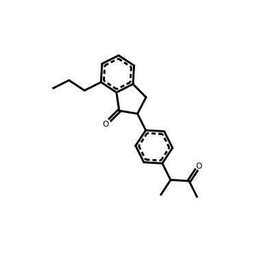 CCCc1cccc2c1C(=O)C(c1ccc(C(C)C(C)=O)cc1)C2